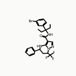 CCC(CC)(NC(=O)c1cnn2c1NC(c1ccccc1)CC2C(F)(F)F)c1cccc(Br)c1